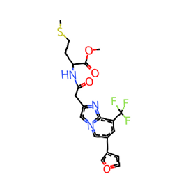 COC(=O)C(CCSC)NC(=O)Cc1cn2cc(-c3ccoc3)cc(C(F)(F)F)c2n1